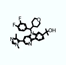 Cc1ncn(C)c1-c1cnc2c3ccc(C(C)(C)O)cc3n(C(c3ccc(F)c(F)c3)C3CCOCC3)c2c1